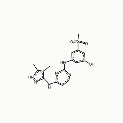 Cc1[nH]nc(Nc2ccnc(Nc3cc(O)cc(S(C)(=O)=O)c3)n2)c1C